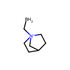 BC[N+]12CCC(CC1)C2